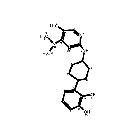 Cc1cnc(NC2CCC(c3cccc(O)c3C(F)(F)F)CC2)nc1N(C)C